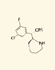 O[C@@H](c1cc(F)cc(Cl)c1)[C@@H]1CCCCN1